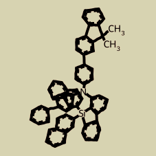 CC1(C)c2ccccc2-c2ccc(-c3ccc(N(c4ccc(-c5ccccc5)cc4)c4cccc5c4[Si](c4ccc6ccccc6c4)(c4ccc6ccccc6c4)c4ccccc4-5)cc3)cc21